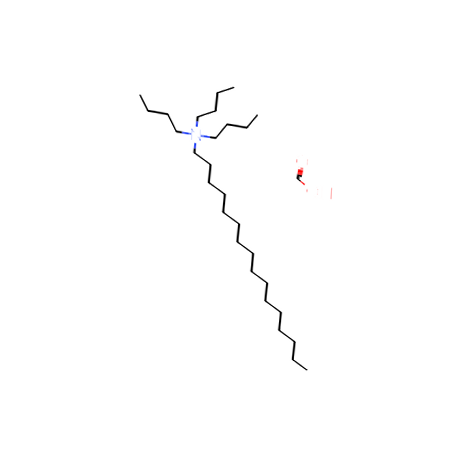 CCCCCCCCCCCCCCCC[N+](CCCC)(CCCC)CCCC.O=CO